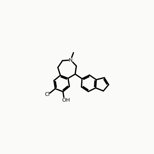 CN1CCc2cc(Cl)c(O)cc2C(c2ccc3c(c2)C=CC3)C1